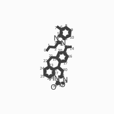 CCCc1nc2c(C)cccc2n1C(C)c1ccc2c(c1)CCc1ccccc1/C2=C\c1noc(=O)[nH]1